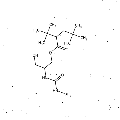 BNC(=O)NC(CO)COC(=O)C(CC(C)(C)C)C(C)(C)C